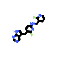 Fc1ncccc1CNc1ccc(Cc2c[nH]c3ncncc23)c(F)n1